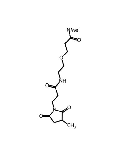 CNC(=O)CCOCCNC(=O)CCN1C(=O)CC(C)C1=O